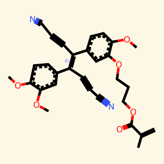 C=C(C)C(=O)OCCCOc1cc(/C(C#CC#N)=C(\C#CC#N)c2ccc(OC)c(OC)c2)ccc1OC